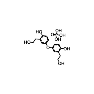 O=P(O)(O)O.OCCc1cc(Oc2ccc(O)c(CCO)c2)ccc1O